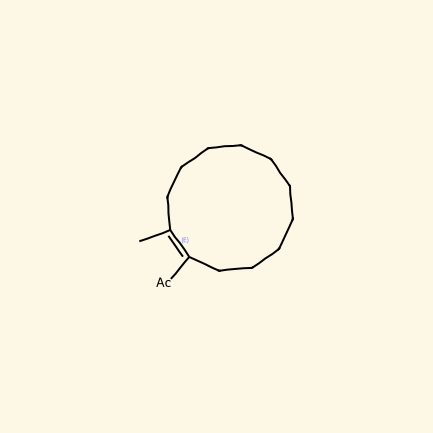 CC(=O)/C1=C(\C)CCCCCCCCCC1